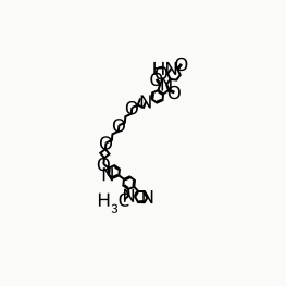 Cn1c2ccncc2c2ccc(-c3ccc(OC4CC(OCCCOCCCOC5CN(c6ccc7c(c6)C(=O)N(C6CCC(=O)NC6=O)C7=O)C5)C4)nc3)cc21